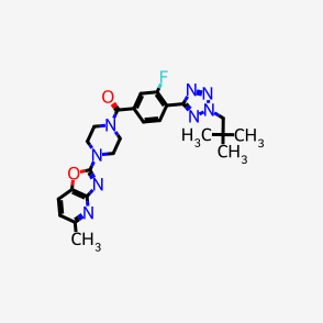 Cc1ccc2oc(N3CCN(C(=O)c4ccc(-c5nnn(CC(C)(C)C)n5)c(F)c4)CC3)nc2n1